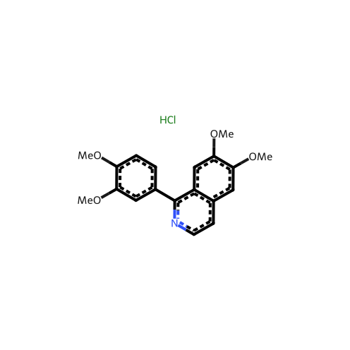 COc1ccc(-c2nccc3cc(OC)c(OC)cc23)cc1OC.Cl